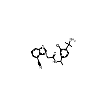 CC(NC(=O)Cn1cnc2cccc(C#N)c21)c1ccc(C(C)(C)N)c(Cl)c1